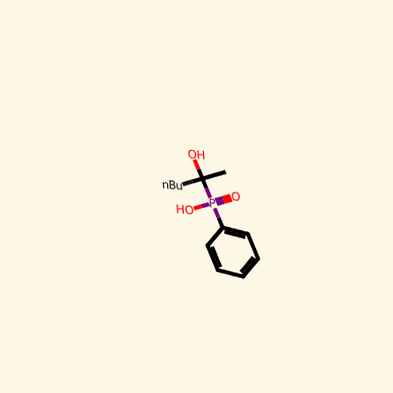 CCCCC(C)(O)P(=O)(O)c1ccccc1